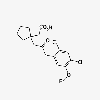 CC(C)Oc1cc(CC(=O)CC2(CC(=O)O)CCCC2)c(Cl)cc1Cl